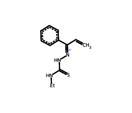 C=C/C(=N/NC(=S)NCC)c1ccccc1